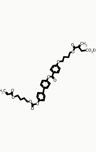 C=CC(=O)OCCCCOC(=O)Oc1ccc(-c2ccc(OC(=O)c3ccc(OCCCCOC(=O)C(=C)CC(=O)OCC)cc3)cc2)cc1